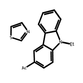 CCn1c2ccccc2c2cc(C(C)=O)ccc21.c1cscn1